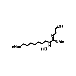 CCCCCCCCCCCCCCCCNC(=NCCO)NC.Cl